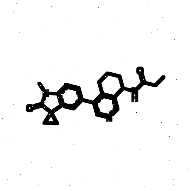 CCC(=O)N[C@@H]1CCCc2c(-c3ccc4c(c3)C3(CC3)C(=O)N4C)cncc21